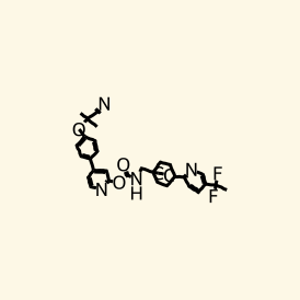 CC(C)(C#N)Oc1ccc(-c2ccnc(OC(=O)NCC34CCC(c5ccc(C(C)(F)F)cn5)(CC3)CC4)c2)cc1